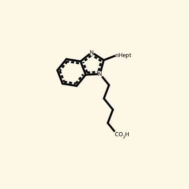 CCCCCCCc1nc2ccccc2n1CCCCC(=O)O